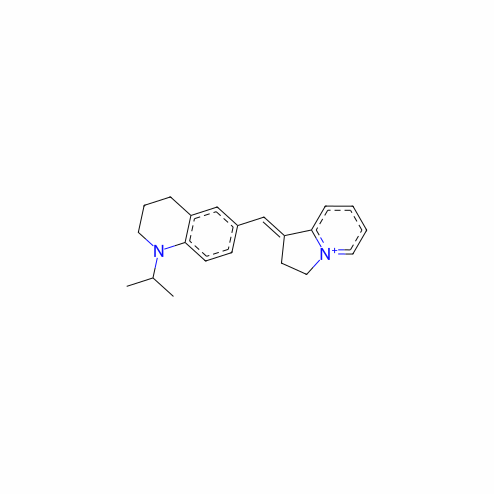 CC(C)N1CCCc2cc(C=C3CC[n+]4ccccc43)ccc21